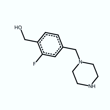 OCc1ccc(CN2CCNCC2)cc1F